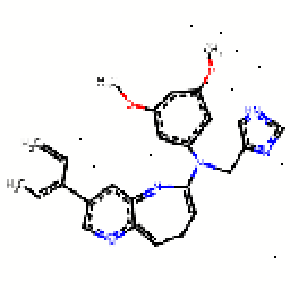 C=C/C(=C\C)c1cnc2c(c1)=NC(N(Cc1c[nH]cn1)c1cc(OC)cc(OC)c1)=CCC=2